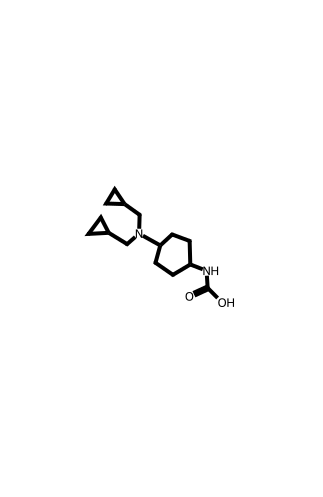 O=C(O)NC1CCC(N(CC2CC2)CC2CC2)CC1